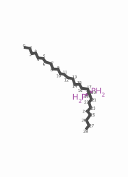 CCCCCCCCCCCCCCCCCCC(P)(P)CCCCCCCC